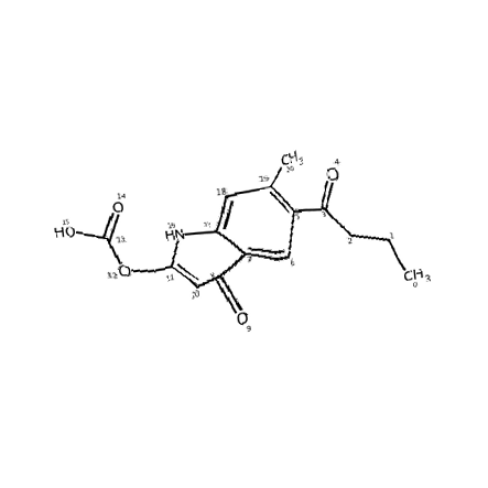 CCCC(=O)c1cc2c(=O)cc(OC(=O)O)[nH]c2cc1C